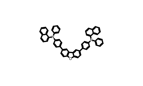 c1ccc(N(c2ccc(-c3ccc4oc5ccc(-c6ccc(N(c7ccccc7)c7cccc8ccccc78)cc6)cc5c4c3)cc2)c2cccc3ccccc23)cc1